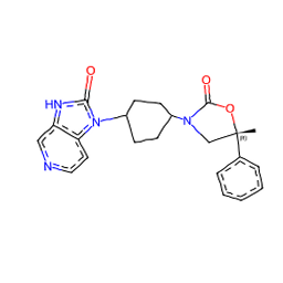 C[C@@]1(c2ccccc2)CN(C2CCC(n3c(=O)[nH]c4cnccc43)CC2)C(=O)O1